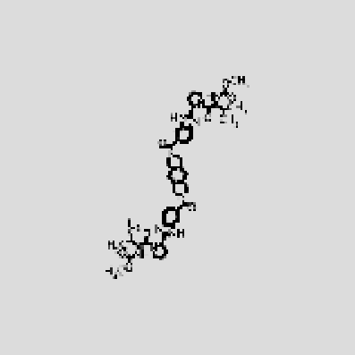 COC(=O)N[C@H](C(=O)N1CCCC1c1nc2ccc(C(=O)N3Cc4cc5c(cc4C3)CN(C(=O)c3ccc4nc(C6CCCN6C(=O)[C@H](NC(=O)OC)C(C)C)[nH]c4c3)C5)cc2[nH]1)C(C)C